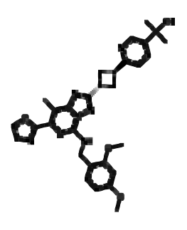 COc1ccc(CNc2nc(-c3ncco3)c(C)c3nc([C@H]4C[C@H](c5ccc(C(C)(C)O)cn5)C4)nn23)c(OC)c1